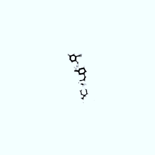 CC1(C(=O)O)CCN(C2=NC(=O)C(=Cc3ccc4c(cnn4Cc4ccc(Cl)cc4C(F)(F)F)c3)S2)CC1